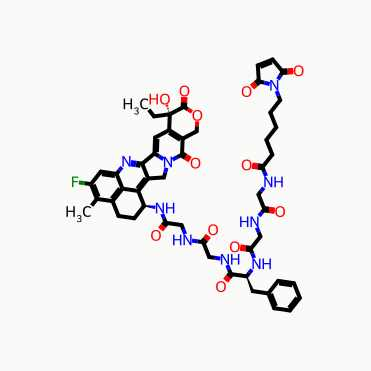 CC[C@@]1(O)C(=O)OCc2c1cc1n(c2=O)Cc2c-1nc1cc(F)c(C)c3c1c2[C@@H](NC(=O)CNC(=O)CNC(=O)[C@H](Cc1ccccc1)NC(=O)CNC(=O)CNC(=O)CCCCCN1C(=O)C=CC1=O)CC3